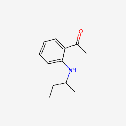 CCC(C)Nc1ccccc1C(C)=O